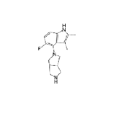 Cc1[nH]c2ccc(F)c(N3CC4CNCC4C3)c2c1C